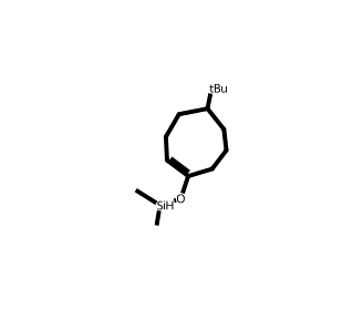 C[SiH](C)O/C1=C/CCC(C(C)(C)C)CCC1